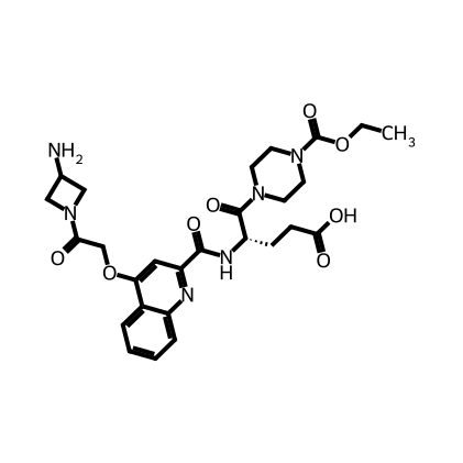 CCOC(=O)N1CCN(C(=O)[C@H](CCC(=O)O)NC(=O)c2cc(OCC(=O)N3CC(N)C3)c3ccccc3n2)CC1